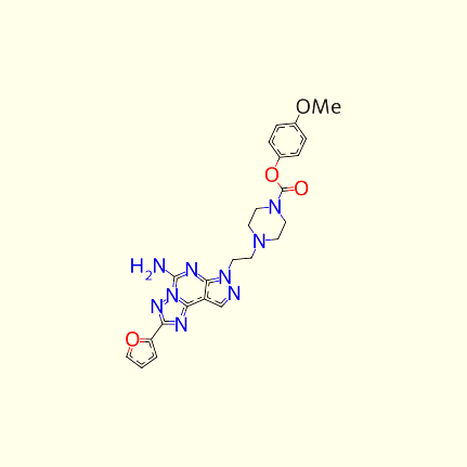 COc1ccc(OC(=O)N2CCN(CCn3ncc4c3nc(N)n3nc(-c5ccco5)nc43)CC2)cc1